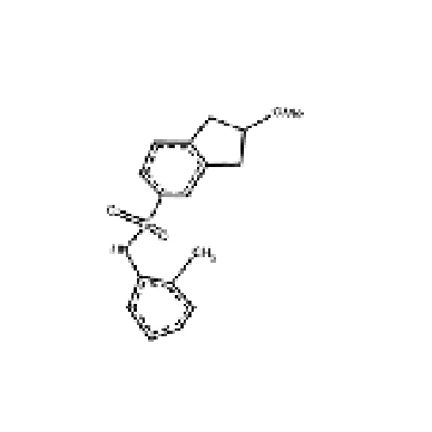 COC1Cc2ccc(S(=O)(=O)Nc3ccccc3C)cc2C1